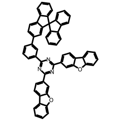 c1cc(-c2ccc3c(c2)C2(c4ccccc4-c4ccccc42)c2ccccc2-3)cc(-c2nc(-c3ccc4c(c3)oc3ccccc34)nc(-c3ccc4c(c3)oc3ccccc34)n2)c1